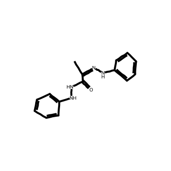 CC(=NNc1ccccc1)C(=O)NNc1ccccc1